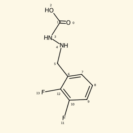 O=C(O)NNCc1cccc(F)c1F